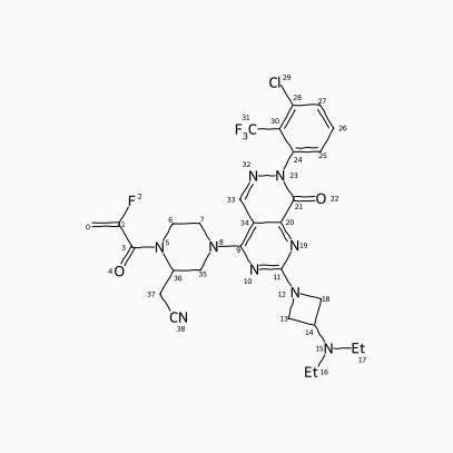 C=C(F)C(=O)N1CCN(c2nc(N3CC(N(CC)CC)C3)nc3c(=O)n(-c4cccc(Cl)c4C(F)(F)F)ncc23)CC1CC#N